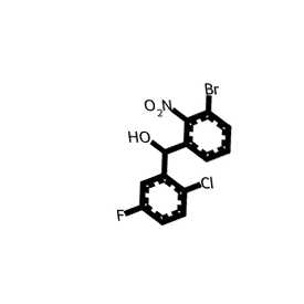 O=[N+]([O-])c1c(Br)cccc1C(O)c1cc(F)ccc1Cl